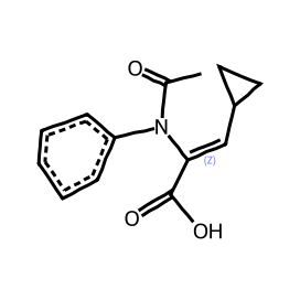 CC(=O)N(/C(=C\C1CC1)C(=O)O)c1ccccc1